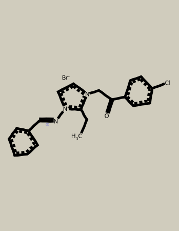 CCc1n(CC(=O)c2ccc(Cl)cc2)cc[n+]1/N=C/c1ccccc1.[Br-]